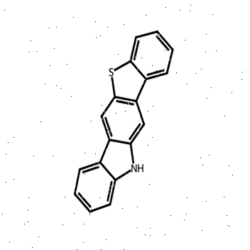 [c]1ccc2c(c1)[nH]c1cc3c(cc12)sc1ccccc13